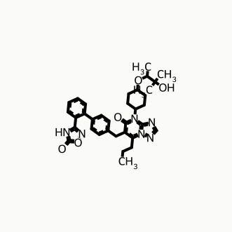 CCCc1c(Cc2ccc(-c3ccccc3-c3noc(=O)[nH]3)cc2)c(=O)n(C2CCC(OC(C)C(C)(C)O)CC2)c2ncnn12